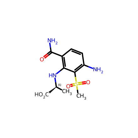 C[C@H](Nc1c(C(N)=O)ccc(N)c1S(C)(=O)=O)C(=O)O